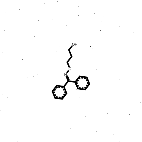 OCCCON=C(c1ccccc1)c1ccccc1